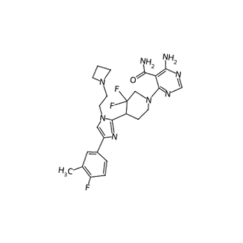 Cc1cc(-c2cn(CCN3CCC3)c(C3CCN(c4ncnc(N)c4C(N)=O)CC3(F)F)n2)ccc1F